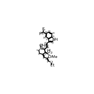 C=C1/C(=C\C(=C\OCC)OC)CCN(C=O)C1CCc1c[nH]c2ccc(C(F)F)cc12